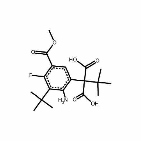 COC(=O)c1cc(C(C(=O)O)(C(=O)O)C(C)(C)C)c(N)c(C(C)(C)C)c1F